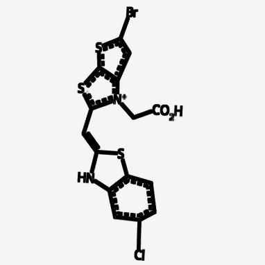 O=C(O)C[n+]1c(/C=C2/Nc3cc(Cl)ccc3S2)sc2sc(Br)cc21